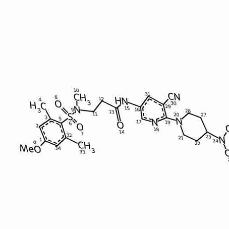 COc1cc(C)c(S(=O)(=O)N(C)CCC(=O)Nc2cnc(N3CCC(N(C)C)CC3)c(C#N)c2)c(C)c1